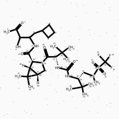 CC(=O)C(O)C(CC1CCC1)NC(=O)[C@@H]1[C@@H]2[C@H](CN1C(=O)[C@@H](NC(=O)N[C@H](CN(C)S(=O)(=O)C(F)(F)F)C(C)(C)C)C(C)(C)C)C2(C)C